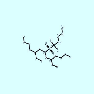 CCCCC(CC)CN(CC(CC)CCCC)S(=O)(=O)C(F)(F)SOOO